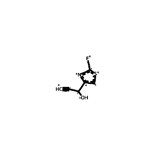 C#CC(O)c1csc(F)n1